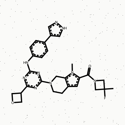 Cn1c(C(=O)N2CC(C)(F)C2)cc2c1CN(c1nc(Nc3ccc(-c4cn[nH]c4)cc3)nc(C3COC3)n1)CC2